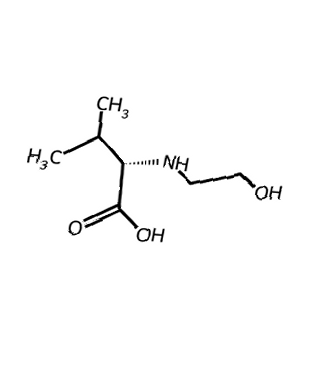 CC(C)[C@H](NCCO)C(=O)O